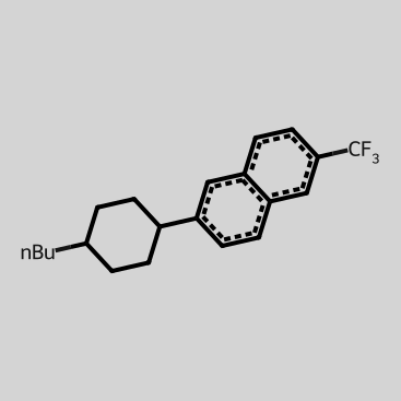 CCCCC1CCC(c2ccc3cc(C(F)(F)F)ccc3c2)CC1